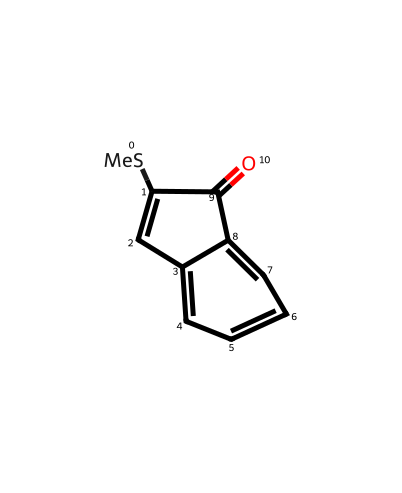 CSC1=Cc2ccccc2C1=O